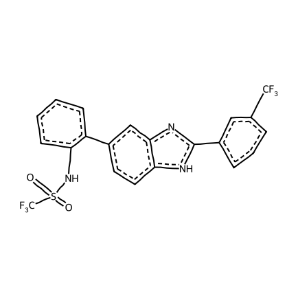 O=S(=O)(Nc1ccccc1-c1ccc2[nH]c(-c3cccc(C(F)(F)F)c3)nc2c1)C(F)(F)F